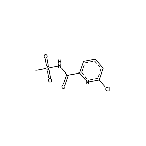 CS(=O)(=O)NC(=O)c1cccc(Cl)n1